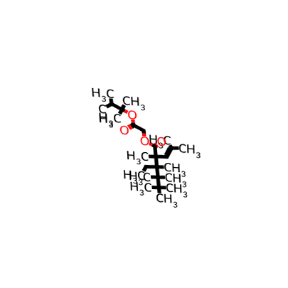 CCC(C)(C(C)(C=C(C)C)C(=O)OCC(=O)OC(C)(C)C(C)C)C(C)(C)C(C)(C)C